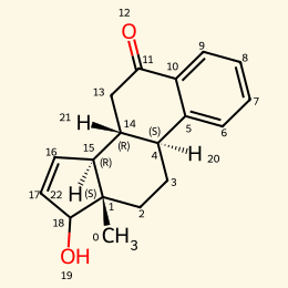 C[C@]12CC[C@@H]3c4ccccc4C(=O)C[C@H]3[C@@H]1C=CC2O